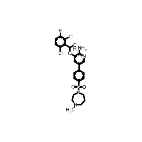 CC(Oc1cc(-c2ccc(S(=O)(=O)N3CCCN(C)CC3)cc2)cnc1N)c1c(Cl)ccc(F)c1Cl